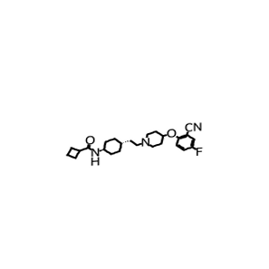 N#Cc1cc(F)ccc1OC1CCN(CC[C@H]2CC[C@H](NC(=O)C3CCC3)CC2)CC1